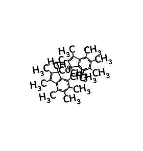 CC1=C(C)[C](C)([Co][C]2(C)C(C)=C(C)c3c(C)c(C)c(C)c(C)c32)c2c(C)c(C)c(C)c(C)c21